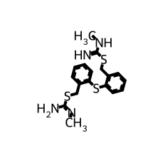 CN=C(N)SCc1ccccc1Sc1ccccc1CSC(=N)NC